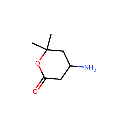 CC1(C)CC(N)CC(=O)O1